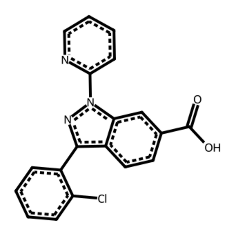 O=C(O)c1ccc2c(-c3ccccc3Cl)nn(-c3ccccn3)c2c1